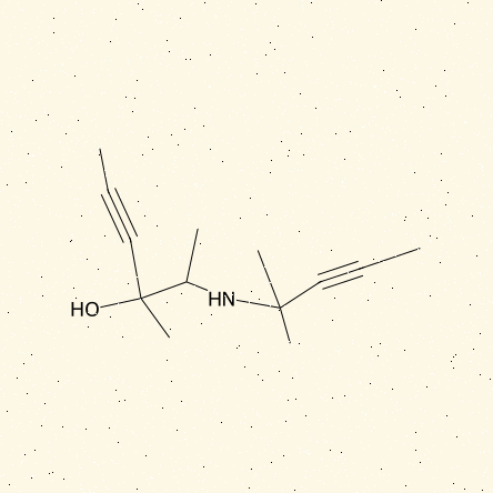 CC#CC(C)(C)NC(C)C(C)(O)C#CC